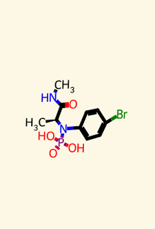 CNC(=O)[C@H](C)N(c1ccc(Br)cc1)P(=O)(O)O